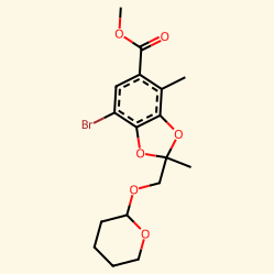 COC(=O)c1cc(Br)c2c(c1C)OC(C)(COC1CCCCO1)O2